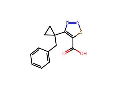 O=C(O)c1snnc1C1(Cc2ccccc2)CC1